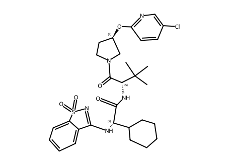 CC(C)(C)[C@H](NC(=O)[C@@H](NC1=NS(=O)(=O)c2ccccc21)C1CCCCC1)C(=O)N1CC[C@@H](Oc2ccc(Cl)cn2)C1